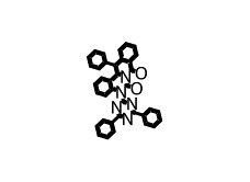 O=c1c2ccccc2c(-c2ccccc2)c2c3ccccc3n(-c3nc(-c4ccccc4)nc(-c4ccccc4)n3)c(=O)n12